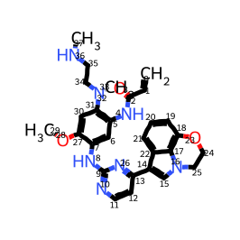 C=CC(=O)Nc1cc(Nc2nccc(-c3cn4c5c(cccc35)OCC4)n2)c(OC)cc1N(C)CCNC